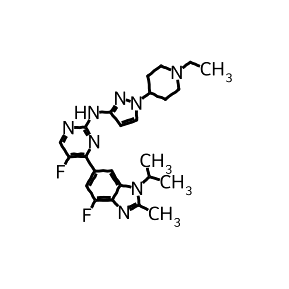 CCN1CCC(n2ccc(Nc3ncc(F)c(-c4cc(F)c5nc(C)n(C(C)C)c5c4)n3)n2)CC1